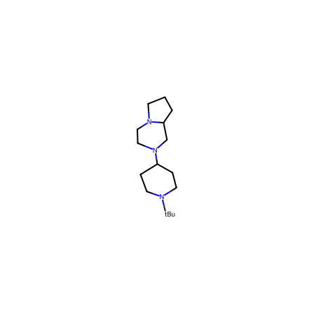 CC(C)(C)N1CCC(N2CCN3CCCC3C2)CC1